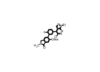 CCn1ncc2c(-c3ccc(F)c(-c4cc5c(cc4OC)C(=O)N(C)C5)c3)c(Cl)nnc21